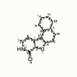 O=c1[nH]ncc2c1oc1ccc3ccccc3c12